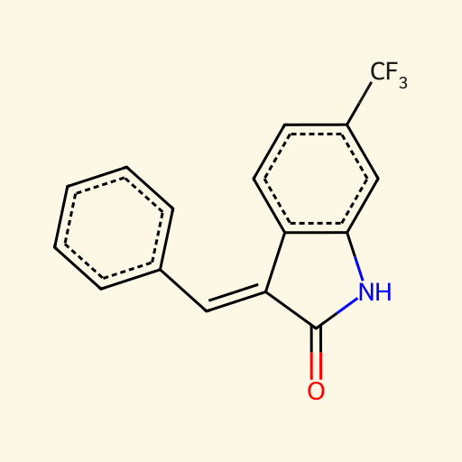 O=C1Nc2cc(C(F)(F)F)ccc2/C1=C\c1ccccc1